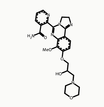 COc1c(OCC(O)CN2CCOCC2)ccc2c1N=C(c1ncccc1C(N)=O)N1CCN=C21